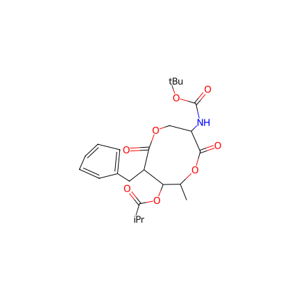 CC(C)C(=O)OC1C(C)OC(=O)C(NC(=O)OC(C)(C)C)COC(=O)C1Cc1ccccc1